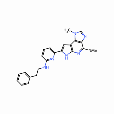 CNc1nc2[nH]c(-c3cccc(NCCc4ccccc4)n3)cc2c2c1ncn2C